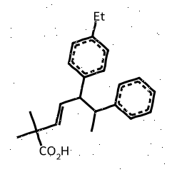 CCc1ccc(C(C=CC(C)(C)C(=O)O)C(C)c2ccccc2)cc1